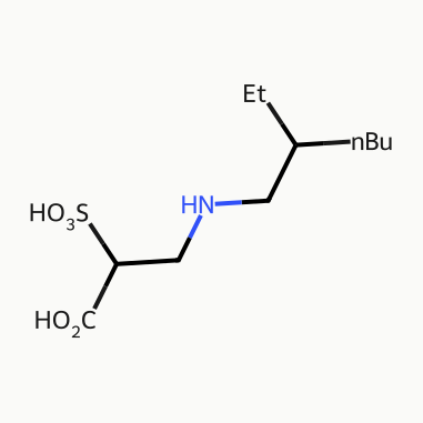 CCCCC(CC)CNCC(C(=O)O)S(=O)(=O)O